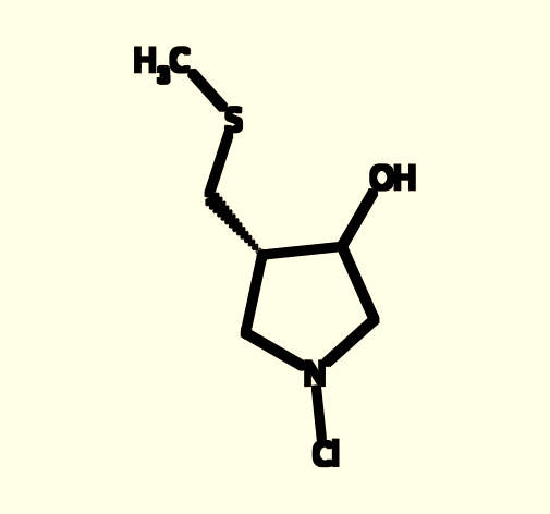 CSC[C@H]1CN(Cl)CC1O